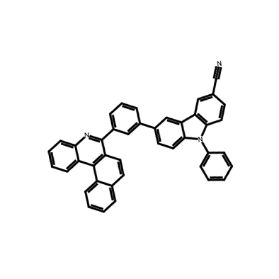 N#Cc1ccc2c(c1)c1cc(-c3cccc(-c4nc5ccccc5c5c4ccc4ccccc45)c3)ccc1n2-c1ccccc1